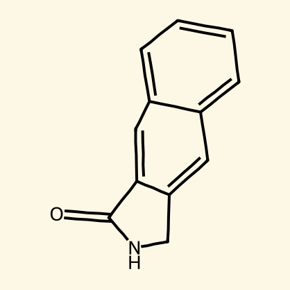 O=C1NCc2cc3ccccc3cc21